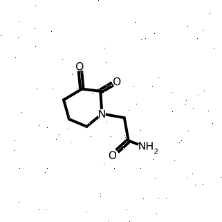 NC(=O)CN1CCCC(=O)C1=O